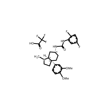 COc1ccc([C@@]23CC[C@@H](NC(=O)Nc4cc(F)ccc4F)C[C@@H]2N(C)CC3)cc1OC.O=C(O)C(F)(F)F